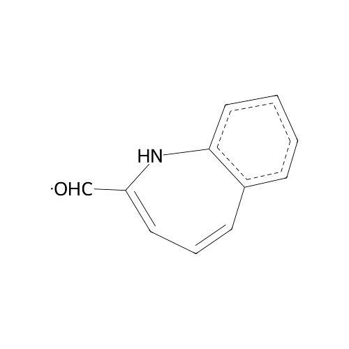 O=[C]C1=CC=Cc2ccccc2N1